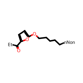 CCCCCCCCCCCCCCOc1ccc(C(=O)CC)o1